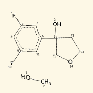 CO.OC1(c2cc(F)cc(F)c2)CCOC1